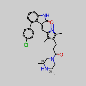 Cc1[nH]c(C=C2C(=O)Nc3cccc(-c4ccc(Cl)cc4)c32)c(C)c1CCC(=O)N1C[C@H](C)N[C@@H](C)C1